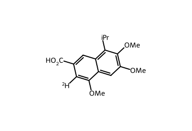 [2H]c1c(C(=O)O)cc2c(C(C)C)c(OC)c(OC)cc2c1OC